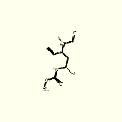 C=CC(C[C@H](CC)NC(=O)OC(C)(C)C)[C@H](C)CO